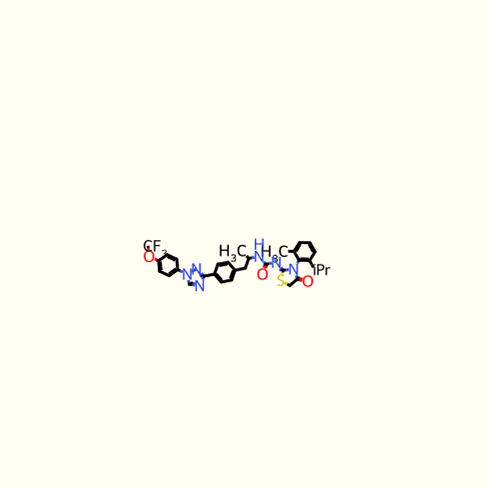 Cc1cccc(C(C)C)c1N1C(=O)CS/C1=N\C(=O)NC(C)Cc1ccc(-c2ncn(-c3ccc(OC(F)(F)F)cc3)n2)cc1